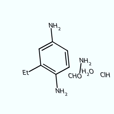 CCc1cc(N)ccc1N.Cl.NC=O.O